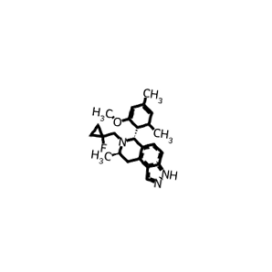 COC1=CC(C)=CC(C)C1[C@@H]1c2ccc3[nH]ncc3c2C[C@@H](C)N1CC1(F)CC1